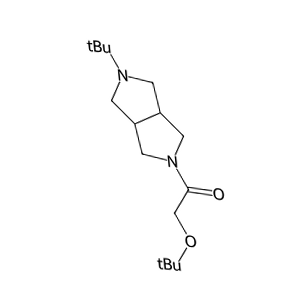 CC(C)(C)OCC(=O)N1CC2CN(C(C)(C)C)CC2C1